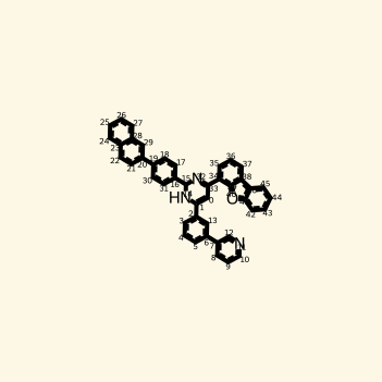 C1=C(c2cccc(-c3cccnc3)c2)NC(c2ccc(-c3ccc4ccccc4c3)cc2)N=C1c1cccc2c1oc1ccccc12